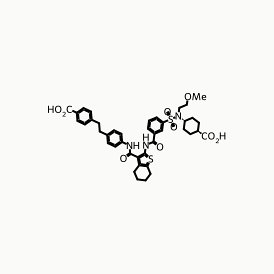 COCCN([C@H]1CC[C@H](C(=O)O)CC1)S(=O)(=O)c1cccc(C(=O)Nc2sc3c(c2C(=O)Nc2ccc(CCc4ccc(C(=O)O)cc4)cc2)CCCC3)c1